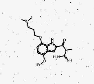 CC(C)Oc1ccc(OCCCN(C)C)c2[nH]c(C(=O)N(C)C(=N)N)cc12